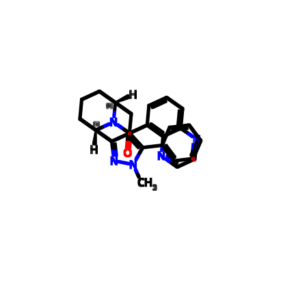 Cn1nc2c(c1-c1ccccc1)C[C@H]1CCC[C@@H]2N1C(=O)c1cccc2nccnc12